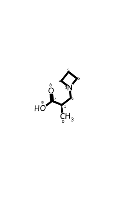 C[C@H](CN1CCC1)C(=O)O